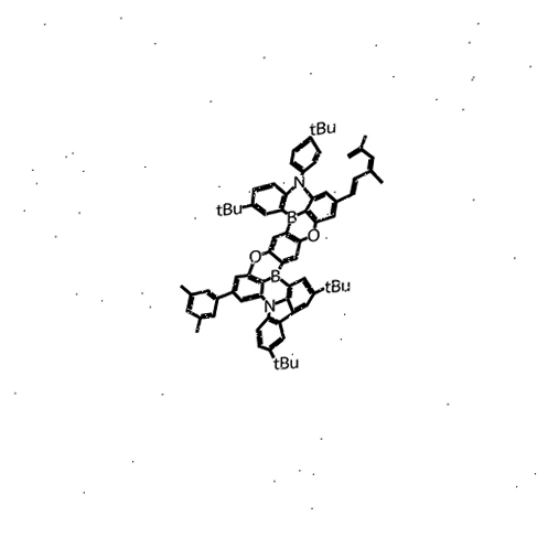 C=C(C)/C=C(C)\C=C\c1cc2c3c(c1)N(c1ccc(C(C)(C)C)cc1)c1ccc(C(C)(C)C)cc1B3c1cc3c(cc1O2)B1c2c(cc(-c4cc(C)cc(C)c4)cc2-n2c4ccc(C(C)(C)C)cc4c4cc(C(C)(C)C)cc1c42)O3